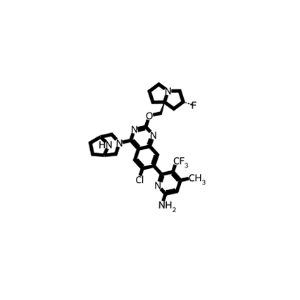 Cc1cc(N)nc(-c2cc3nc(OC[C@@]45CCCN4C[C@H](F)C5)nc(N4CC5CCC(C4)N5)c3cc2Cl)c1C(F)(F)F